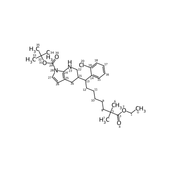 CCOC(=O)C(C)(C)CCCCCC(c1ccccc1Cl)C1CNc2c(ccn2C(=O)OC(C)(C)C)C1